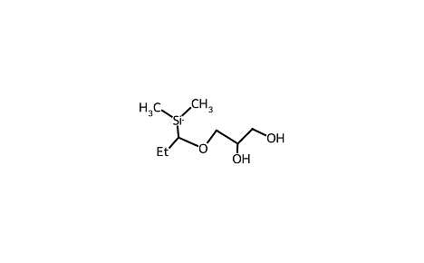 CCC(OCC(O)CO)[Si](C)C